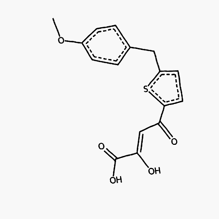 COc1ccc(Cc2ccc(C(=O)C=C(O)C(=O)O)s2)cc1